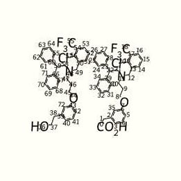 O=C(O)Cc1cccc(OCCCN(Cc2cccc(C(F)(F)F)c2Cl)CC(c2ccccc2)c2ccccc2)c1.OCCc1cccc(OCCCN(Cc2cccc(C(F)(F)F)c2Cl)CC(c2ccccc2)c2ccccc2)c1